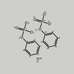 O=P([O-])([O-])Oc1ccccc1.O=P([O-])([O-])Oc1ccccc1.[Ti+4]